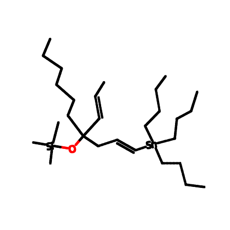 CC=CC(C/C=[CH]/[Sn]([CH2]CCC)([CH2]CCC)[CH2]CCC)(CCCCCC)O[Si](C)(C)C